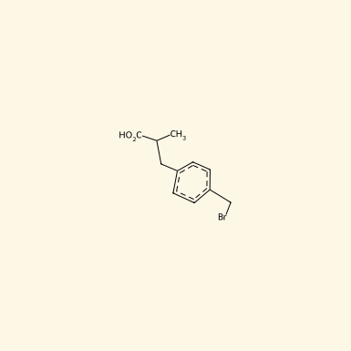 CC(Cc1ccc(CBr)cc1)C(=O)O